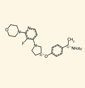 CC(=O)N[C@@H](C)c1ccc(O[C@@H]2CCN(c3ccnc(N4CCOCC4)c3F)C2)cc1